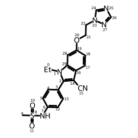 CCn1c(-c2ccc(NS(C)(=O)=O)cc2)c(C#N)c2ccc(OCCn3cncn3)cc21